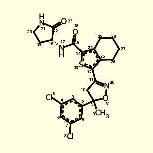 CC1(c2cc(Cl)cc(Cl)c2)CC(c2sc(C(=O)N[C@@H]3CCNC3=O)c3c2CCCC3)=NO1